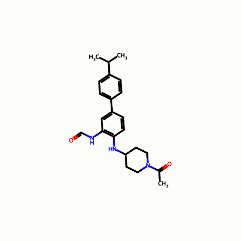 CC(=O)N1CCC(Nc2ccc(-c3ccc(C(C)C)cc3)cc2NC=O)CC1